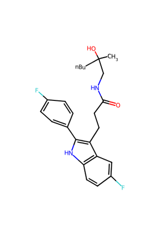 CCCCC(C)(O)CNC(=O)CCc1c(-c2ccc(F)cc2)[nH]c2ccc(F)cc12